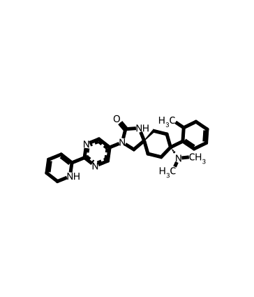 CC1CC=CC=C1[C@]1(N(C)C)CC[C@@]2(CC1)CN(c1cnc(C3=CC=CCN3)nc1)C(=O)N2